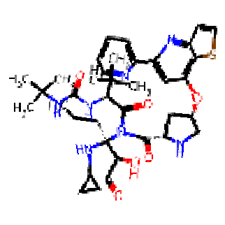 CCC[C@@](NC1CC1)(C(O)C=O)N(C(=O)[C@@H]1C[C@@H](Oc2cc(-c3ccccn3)nc3ccsc23)CN1)C(=O)[C@@H](NC(=O)NC(C)(C)C)C(C)(C)C